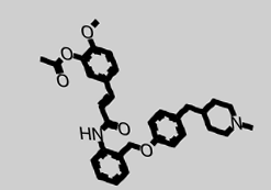 COc1ccc(C=CC(=O)Nc2ccccc2COc2ccc(CC3CCN(C)CC3)cc2)cc1OC(C)=O